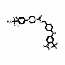 CC(C)(C)c1ccc(N2CCN(C(=O)NCC3CCC(Nc4ccc([N+](=O)[O-])c(C(F)(F)F)c4)CC3)CC2)cc1